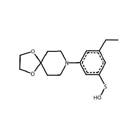 CCc1cc(SO)cc(N2CCC3(CC2)OCCO3)c1